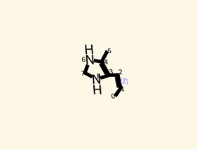 C/C=C\C1=C(C)NCN1